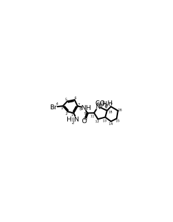 Nc1cc(Br)ccc1NC(=O)C1CC2CCCC[C@@H]2N1C(=O)O